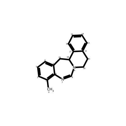 Cc1cccc2c1N=CN1CCc3ccccc3C1C2